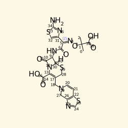 CC(C)(O/N=C(\C(=O)NC1C(=O)N2C(C(=O)O)=C(CN3C=Cc4scnc4C3)CS[C@H]12)c1csc(N)n1)C(=O)O